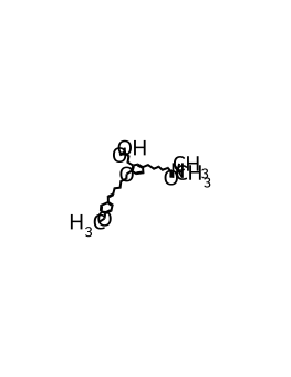 COc1ccc(/C=C/CCCCOc2ccc(CCCCCC(=O)N(C)C)cc2CCC(=O)O)cc1